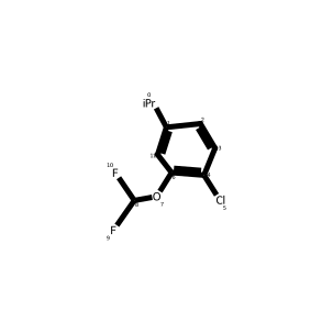 CC(C)c1ccc(Cl)c(OC(F)F)c1